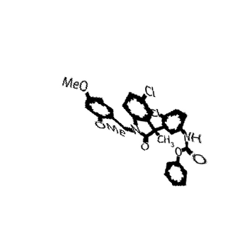 COc1ccc(CN2C(=O)C(C)(c3cc(NC(=O)Oc4ccccc4)ccc3Cl)c3cc(Cl)ccc32)c(OC)c1